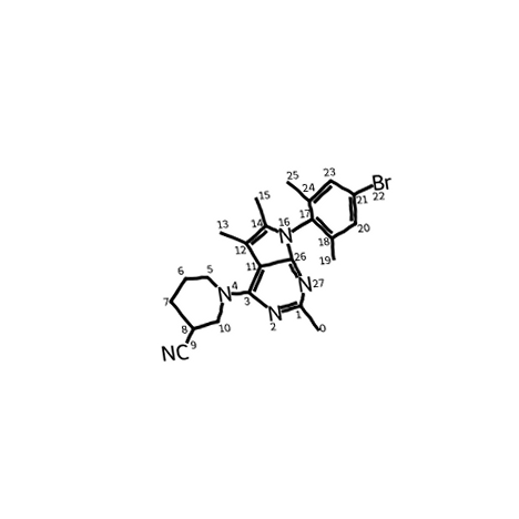 Cc1nc(N2CCCC(C#N)C2)c2c(C)c(C)n(-c3c(C)cc(Br)cc3C)c2n1